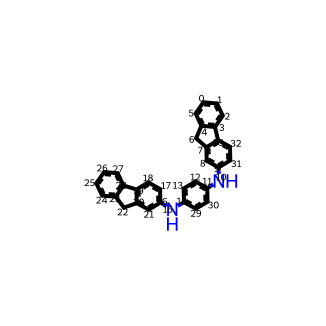 c1ccc2c(c1)Cc1cc(Nc3ccc(Nc4ccc5c(c4)Cc4ccccc4-5)cc3)ccc1-2